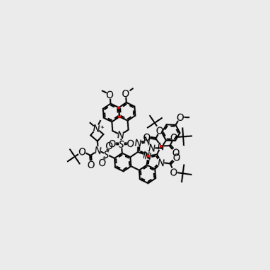 COc1ccc(CN(Cc2ccc(OC)cc2)S(=O)(=O)c2c(S(=O)(=O)N(C(=O)OC(C)(C)C)C3C[N+](C)(C)C3)ccc(-c3cccc4c3nc(N(C(=O)OC(C)(C)C)C(=O)OC(C)(C)C)n4C(=O)OC(C)(C)C)c2-c2nnn(Cc3ccc(OC)cc3)n2)cc1